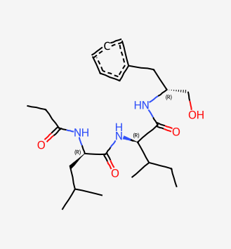 CCC(=O)N[C@H](CC(C)C)C(=O)N[C@@H](C(=O)N[C@@H](CO)Cc1ccccc1)C(C)CC